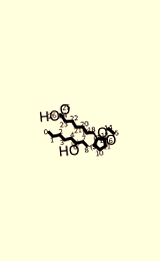 CCCCC[C@H](O)CC[C@H]1CCC2(OCCO2)[C@@H]1CCCCCCC(=O)O